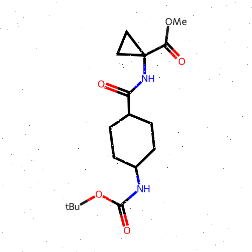 COC(=O)C1(NC(=O)C2CCC(NC(=O)OC(C)(C)C)CC2)CC1